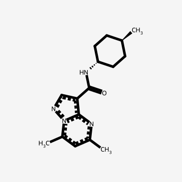 Cc1cc(C)n2ncc(C(=O)N[C@H]3CC[C@H](C)CC3)c2n1